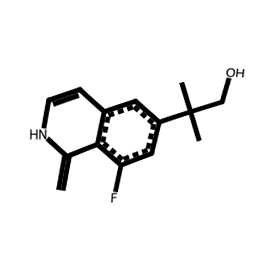 C=C1NC=Cc2cc(C(C)(C)CO)cc(F)c21